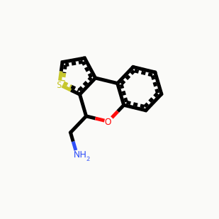 NCC1Oc2ccccc2-c2ccsc21